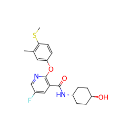 CSc1ccc(Oc2ncc(F)cc2C(=O)N[C@H]2CC[C@H](O)CC2)cc1C